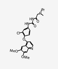 COc1cc2nccc(Oc3ccc(NC(=O)NC(=O)CN(C)C(C)C)cc3Cl)c2cc1OC